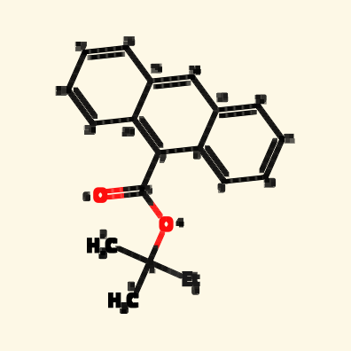 CCC(C)(C)OC(=O)c1c2ccccc2cc2ccccc12